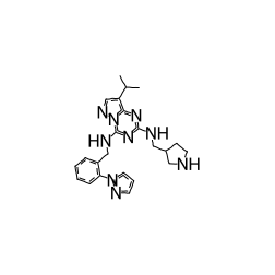 CC(C)c1cnn2c(NCc3ccccc3-n3cccn3)nc(NCC3CCNC3)nc12